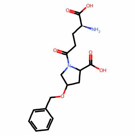 N[C@@H](CCC(=O)N1CC(OCc2ccccc2)CC1C(=O)O)C(=O)O